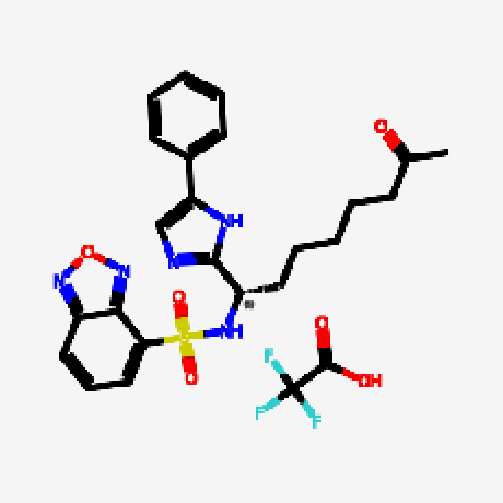 CC(=O)CCCCC[C@H](NS(=O)(=O)c1cccc2nonc12)c1ncc(-c2ccccc2)[nH]1.O=C(O)C(F)(F)F